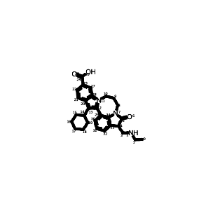 CCNCC1C(=O)N2CCCn3c(c(C4CCCCC4)c4ccc(C(=O)O)cc43)-c3cccc1c32